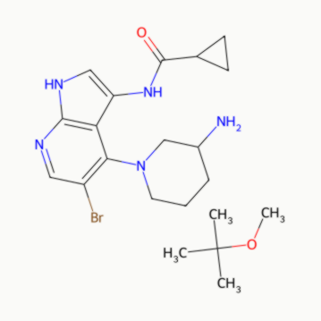 COC(C)(C)C.NC1CCCN(c2c(Br)cnc3[nH]cc(NC(=O)C4CC4)c23)C1